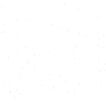 CCO[Si](S)(OCC)OCC.[Cl-].[Cl-].[Cl-].[Cl-].[Zr+4]